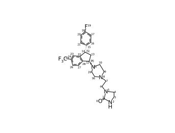 O=C1NCCN1CCN1CCN([C@@H]2C[C@@H](c3ccc(F)cc3)c3cc(C(F)(F)F)ccc32)CC1